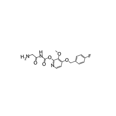 COc1c(OCc2ccc(F)cc2)ccnc1OC(=O)NC(=O)CN